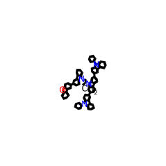 C=CC(Cn1c2ccccc2c2cc(-c3ccc4oc5ccccc5c4c3)ccc21)n1c2cc(-c3ccc4c(c3)c3ccccc3n4-c3ccccc3)ccc2c2ccc(-c3ccc4c(c3)c3ccccc3n4-c3ccccc3)cc21